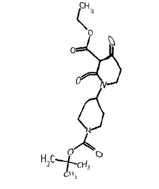 CCOC(=O)C1C(=O)CCN(C2CCN(C(=O)OC(C)(C)C)CC2)C1=O